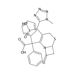 Cn1nnnc1C(C1=C(C(C(=O)O)(c2ccccc2)c2ccccc2)N2C(=O)CC2SC1)S(=O)O